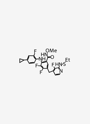 CCSNc1nccc(Cc2cc(C(=O)NOC)c(Nc3ccc(C4CC4)cc3F)c(F)c2F)c1F